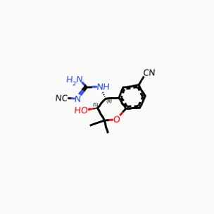 CC1(C)Oc2ccc(C#N)cc2[C@@H](NC(N)=NC#N)[C@@H]1O